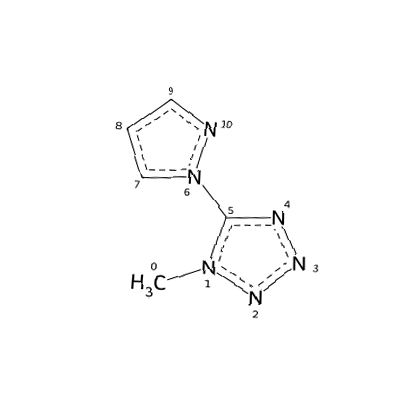 Cn1nnnc1-n1cccn1